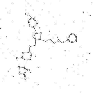 O=c1[nH]c(-c2ccc(OCc3sc(-c4ccc(C(F)(F)F)cc4)nc3CCCOCc3ccccc3)cc2F)no1